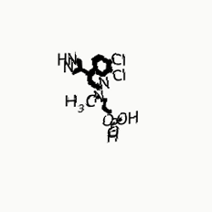 CN(CCCO[PH](=O)O)c1cc(-c2cn[nH]c2)c2ccc(Cl)c(Cl)c2n1